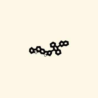 c1ccc2cc(-c3c4ccccc4c(-c4ccc5oc6cc7c(ccc8c9ccccc9oc78)cc6c5c4)c4ccccc34)ccc2c1